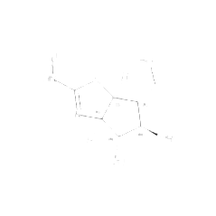 CCNC1=N[C@@H]2[C@@H](O)[C@H](O)[C@@H](CO)[C@@H]2S1